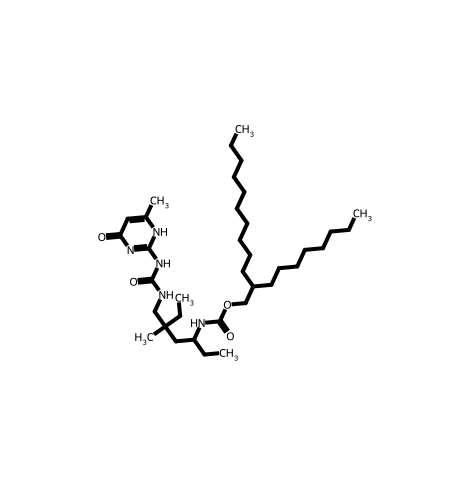 CCCCCCCCCCC(CCCCCCCC)COC(=O)NC(CC)CC(C)(CC)CNC(=O)Nc1nc(=O)cc(C)[nH]1